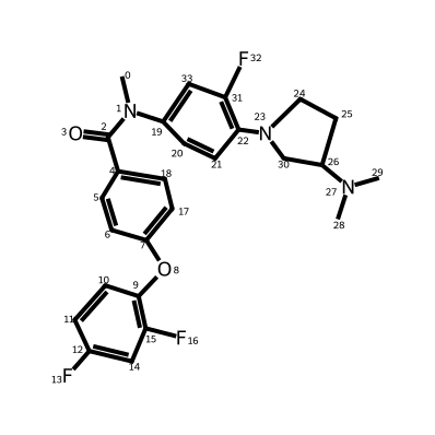 CN(C(=O)c1ccc(Oc2ccc(F)cc2F)cc1)c1ccc(N2CCC(N(C)C)C2)c(F)c1